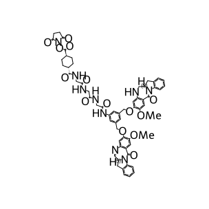 COc1cc2c(cc1OCc1cc(COc3cc4c(cc3OC)C(=O)N3c5ccccc5C[C@H]3CN4)cc(NC(=O)CNC(=O)CNC(=O)CNC(=O)[C@H]3CC[C@H](C(=O)ON4C(=O)CCC4=O)CC3)c1)N=C[C@@H]1Cc3ccccc3N1C2=O